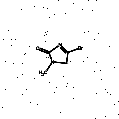 CN1[C]C(Br)=NC1=O